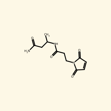 CC(CC(N)=O)NC(=O)CCN1C(=O)C=CC1=O